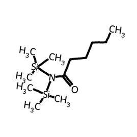 CCCCCC(=O)N([Si](C)(C)C)[Si](C)(C)C